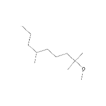 [CH2]CCC(C)CCCC(C)(C)OC